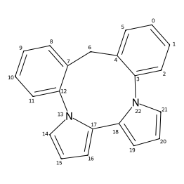 c1ccc2c(c1)Cc1ccccc1-n1cccc1-c1cccn1-2